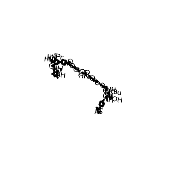 Cc1cc(C)c(CNC(=O)c2cc(C3=CCN(C(=O)COCCOCCOCC(=O)NCCOCCOCCOCCC(=O)N[C@H](C(=O)N4C[C@H](O)C[C@H]4C(=O)NCc4ccc(-c5scnc5C)cc4)C(C)(C)C)CC3)cc(NC(C)C)c2C=N)c(=O)[nH]1